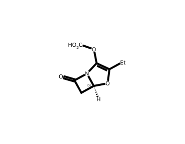 CCC1=C(OC(=O)O)N2C(=O)C[C@@H]2O1